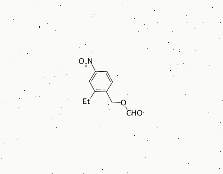 CCc1cc([N+](=O)[O-])ccc1CO[C]=O